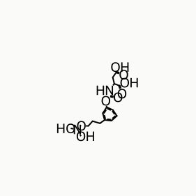 O=C(O)CC(NC(=O)Oc1cccc(CCCON(O)O)c1)C(=O)O